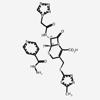 Cc1nnc(SCC2=C(C(=O)O)N3C(=O)[C@@H](NC(=O)Cn4cnnn4)[C@H]3SC2)s1.NNC(=O)c1ccncc1